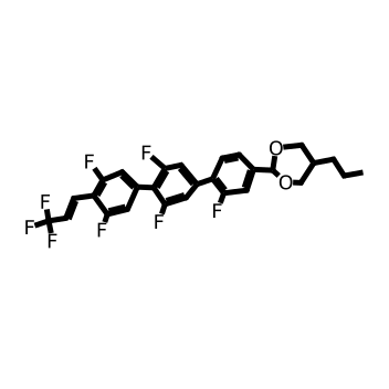 CCCC1COC(c2ccc(-c3cc(F)c(-c4cc(F)c(/C=C/C(F)(F)F)c(F)c4)c(F)c3)c(F)c2)OC1